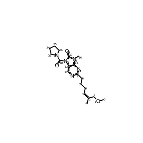 COCC(C)=CCCCc1ncc2c(n1)n(C)c(=O)n2C(=O)N1CCCC1